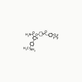 CC(N)c1ccc(-c2cnc(OC3CCN(C(=O)Cc4ccc(OC(F)(F)F)cc4)CC3)c(C(N)=O)c2)cc1